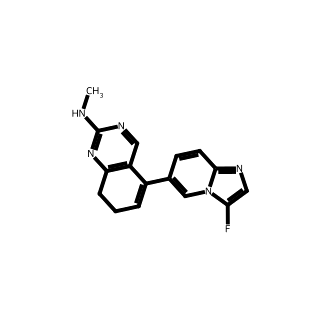 CNc1ncc2c(n1)CCC=C2c1ccc2ncc(F)n2c1